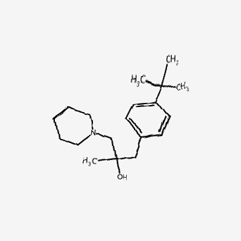 CC(O)(Cc1ccc(C(C)(C)C)cc1)CN1CCCCC1